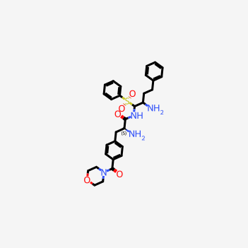 NC(CCc1ccccc1)C(NC(=O)[C@@H](N)Cc1ccc(C(=O)N2CCOCC2)cc1)S(=O)(=O)c1ccccc1